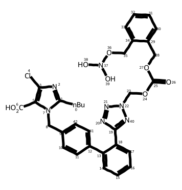 CCCCc1nc(Cl)c(C(=O)O)n1Cc1ccc(-c2ccccc2-c2nnn(COC(=O)OCc3ccccc3CON(O)O)n2)cc1